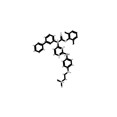 Cc1cccc(C)c1OC(=O)N(c1cccc(-c2ccccc2)c1)c1ccnc(Nc2ccc(OCCN(C)C)cc2)n1